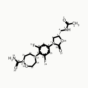 CC(=O)NC[C@H]1CN(c2cc(F)c(N3CCON(C(N)=O)CC3)c(F)c2)C(=O)O1